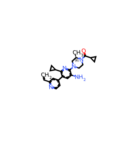 C=Cc1cc(-c2cc(N)c(N3CCN(C(=O)C4CC4)[C@H](C)C3)nc2C2CC2)ccn1